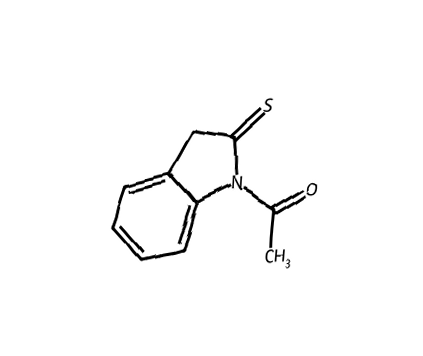 CC(=O)N1C(=S)Cc2ccccc21